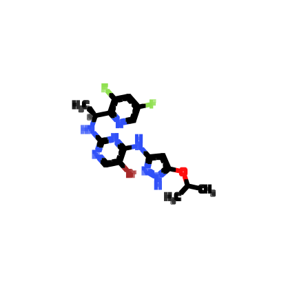 CC(C)Oc1cc(Nc2nc(N[C@@H](C)c3ncc(F)cc3F)ncc2Br)n[nH]1